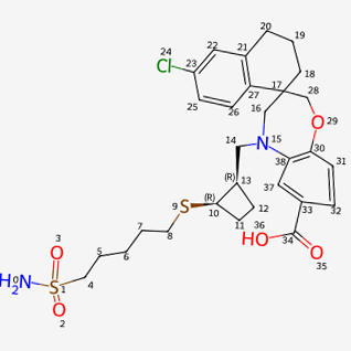 NS(=O)(=O)CCCCCS[C@@H]1CC[C@@H]1CN1CC2(CCCc3cc(Cl)ccc32)COc2ccc(C(=O)O)cc21